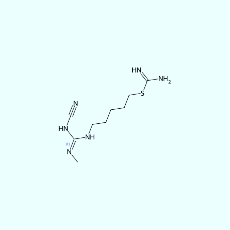 C/N=C(/NC#N)NCCCCCSC(=N)N